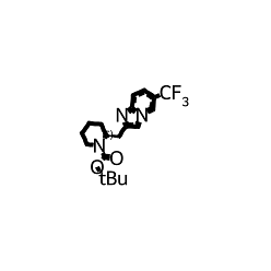 CC(C)(C)OC(=O)N1CCCC[C@H]1Cc1cn2cc(C(F)(F)F)ccc2n1